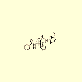 CC(C)c1ccnc(N2C[C@H]3CSC(NC(=O)c4ccccc4)N[C@@]3(c3cccs3)C2)n1